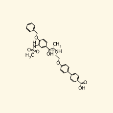 C[C@H](NCCOc1ccc(-c2ccc(C(=O)O)cc2)cc1)[C@@H](O)c1ccc(OCc2ccccc2)c(NS(C)(=O)=O)c1